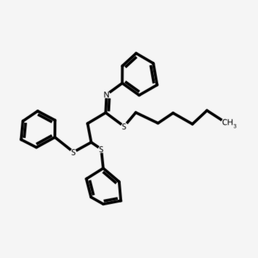 CCCCCCSC(CC(Sc1ccccc1)Sc1ccccc1)=Nc1ccccc1